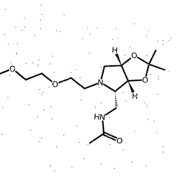 COCCOCCN1C[C@@H]2OC(C)(C)O[C@@H]2[C@@H]1CNC(C)=O